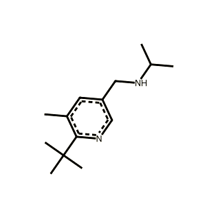 Cc1cc(CNC(C)C)cnc1C(C)(C)C